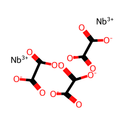 O=C([O-])C(=O)[O-].O=C([O-])C(=O)[O-].O=C([O-])C(=O)[O-].[Nb+3].[Nb+3]